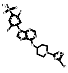 CC(C)c1noc(N2CCC(Oc3ncnc4c3ncn4-c3cc(F)c(S(N)(=O)=O)cc3F)CC2)n1